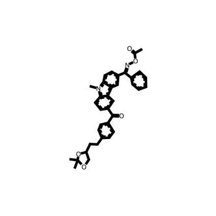 CC(=O)O/N=C(\c1ccccc1)c1ccc2c(c1)c1cc(C(=O)c3ccc(CCC4COC(C)(C)O4)cc3)ccc1n2C